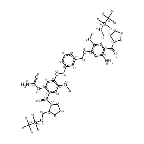 COc1cc(C(=O)N2CCC[C@H]2CO[Si](C)(C)C(C)(C)C)c(N)cc1OCc1cccc(COc2cc(OC(N)=O)c(C(=O)N3CCC[C@H]3CO[Si](C)(C)C(C)(C)C)cc2OC)c1